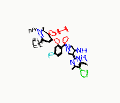 CCCN1C(CC)CC(Oc2cc(F)ccc2C(=O)N2CC(=N)/C(=C3/N=C(C)C(Cl)=C(C)N3)C2)C(O)C1C